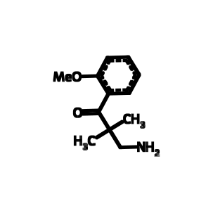 COc1ccccc1C(=O)C(C)(C)CN